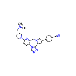 CN(C)C[C@H]1CCN(c2ccc3c(n2)Cn2cc(-c4ccc(C#N)cc4)cc2-c2nncn2-3)C1